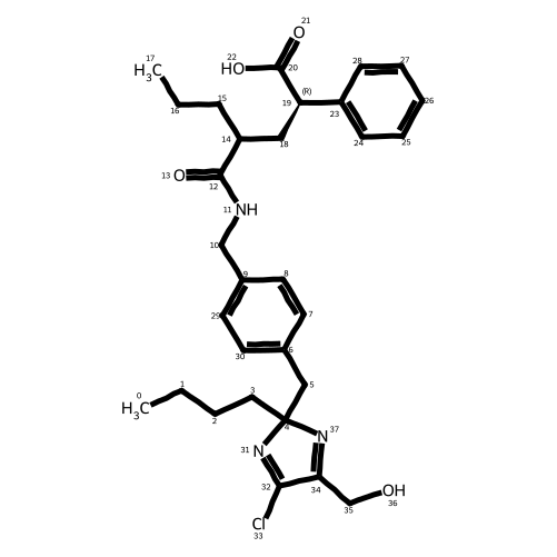 CCCCC1(Cc2ccc(CNC(=O)C(CCC)C[C@@H](C(=O)O)c3ccccc3)cc2)N=C(Cl)C(CO)=N1